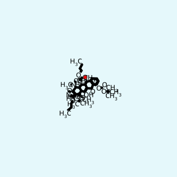 CCCCOC(=O)O[C@H]1[C@H]2C(=C(O)[C@]3(O[Si](C)(C)C(C)(C)C)C(=O)c4c(OCCCC)noc4[C@@H](N(C)C)[C@H]13)C(=O)c1c(OC(=O)OC(C)(C)C)cccc1[C@@H]2C